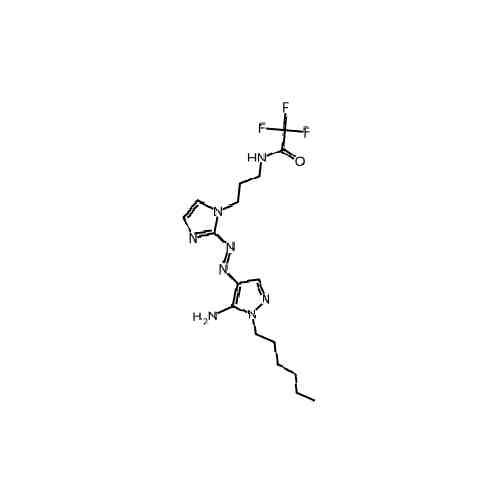 CCCCCCn1ncc(N=Nc2nccn2CCCNC(=O)C(F)(F)F)c1N